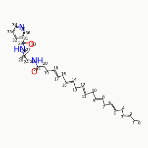 CCC=CCC=CCC=CCC=CCC=CCC=CCCC(=O)NCC(C)(C)NC(=O)c1cccnc1